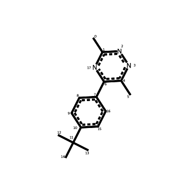 Cc1nnc(C)c(-c2ccc(C(C)(C)C)cc2)n1